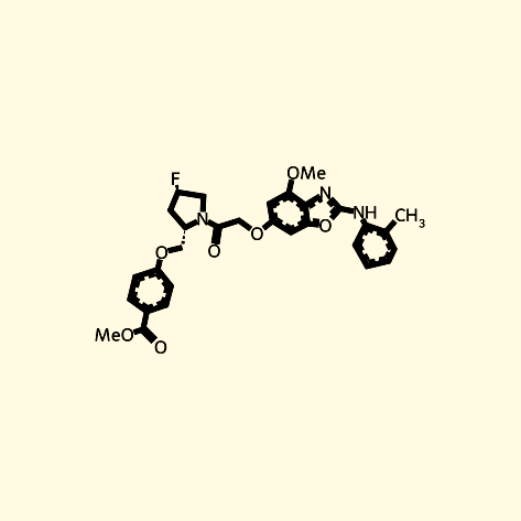 COC(=O)c1ccc(OC[C@@H]2C[C@H](F)CN2C(=O)COc2cc(OC)c3nc(Nc4ccccc4C)oc3c2)cc1